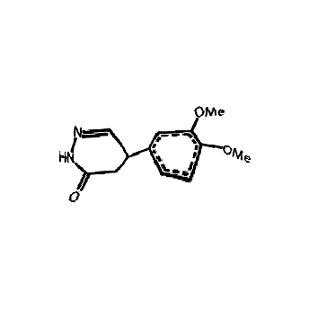 COc1ccc(C2C=NNC(=O)C2)cc1OC